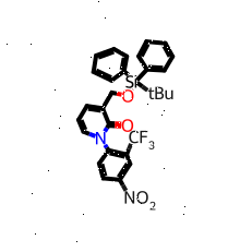 CC(C)(C)[Si](OCc1cccn(-c2ccc([N+](=O)[O-])cc2C(F)(F)F)c1=O)(c1ccccc1)c1ccccc1